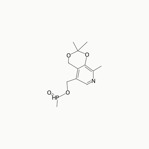 Cc1ncc(CO[PH](C)=O)c2c1OC(C)(C)OC2